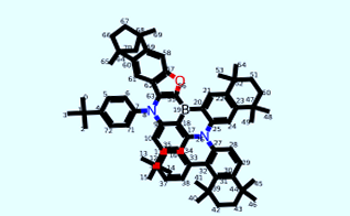 CC(C)(C)c1ccc(N2c3cc(C(C)(C)C)cc4c3B(c3cc5c(cc3N4c3ccc4c(c3-c3ccccc3)C(C)(C)CCC4(C)C)C(C)(C)CCC5(C)C)c3oc4cc5c(cc4c32)C2(C)CCC5(C)C2)cc1